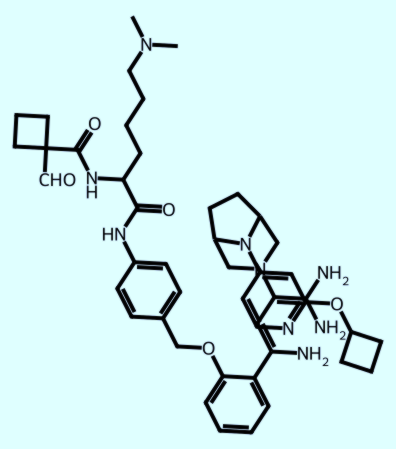 CN(C)CCCCC(NC(=O)C1(C=O)CCC1)C(=O)Nc1ccc(COc2ccccc2/C(N)=C/C(=C(N)N)N2CC3CCC(C2)N3c2ccnc(OC3CCC3)c2)cc1